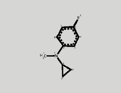 CN(c1ccc(F)cc1)C1CC1